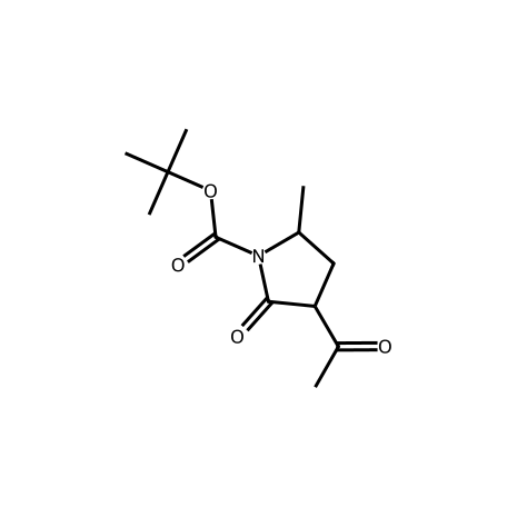 CC(=O)C1CC(C)N(C(=O)OC(C)(C)C)C1=O